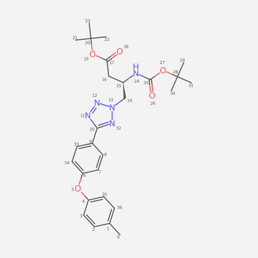 Cc1ccc(Oc2ccc(-c3nnn(C[C@@H](CC(=O)OC(C)(C)C)NC(=O)OC(C)(C)C)n3)cc2)cc1